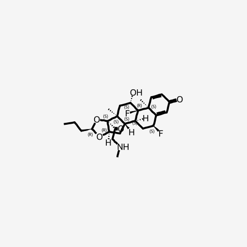 CCC[C@@H]1O[C@@H]2C[C@H]3[C@@H]4C[C@H](F)C5=CC(=O)C=C[C@]5(C)[C@@]4(F)[C@@H](O)C[C@]3(C)[C@]2(C(=O)CNC)O1